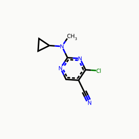 CN(c1ncc(C#N)c(Cl)n1)C1CC1